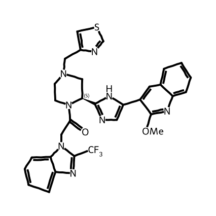 COc1nc2ccccc2cc1-c1cnc([C@@H]2CN(Cc3cscn3)CCN2C(=O)Cn2c(C(F)(F)F)nc3ccccc32)[nH]1